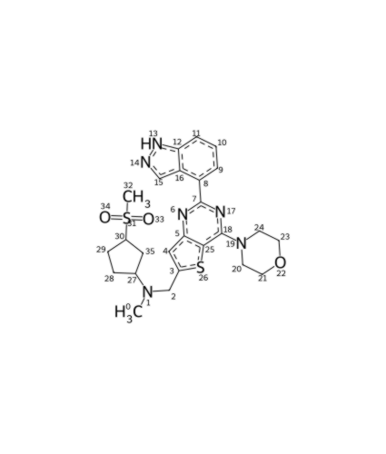 CN(Cc1cc2nc(-c3cccc4[nH]ncc34)nc(N3CCOCC3)c2s1)C1CCC(S(C)(=O)=O)C1